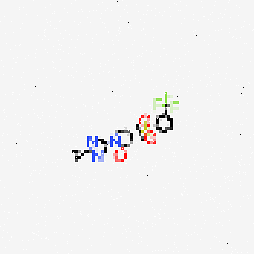 CC(C)([C@H]1CCN(c2cnc(C3CC3)nc2)C(=O)C1)S(=O)(=O)c1cccc(C(F)(F)F)c1